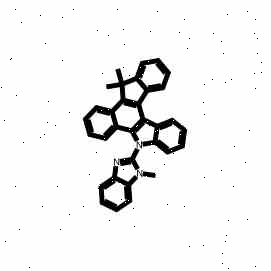 Cn1c(-n2c3ccccc3c3c4c(c5ccccc5c32)C(C)(C)c2ccccc2-4)nc2ccccc21